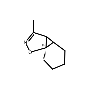 CC1=NO[C@]23CCCCC2C13